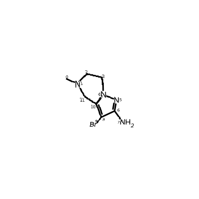 CN1CCn2nc(N)c(Br)c2C1